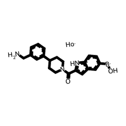 NCc1cccc(C2CCN(C(=O)c3cc4cc([B]O)ccc4[nH]3)CC2)c1.[Ho]